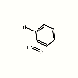 Clc1ccccc1.O=P